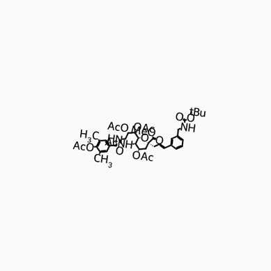 COC(=O)[C@@]1(C/C=C/c2cccc(CNC(=O)OC(C)(C)C)c2)C[C@H](OC(C)=O)[C@@H](NC(C)=O)[C@H]([C@H](OC(C)=O)[C@@H](CNC(=O)c2cc(C)c(OC(C)=O)c(C)c2)OC(C)=O)O1